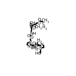 C=C(C)C(=O)OCCC[Si](CCCNC(=O)OCCN1CCN=C1C(C)(C)N=NC(C)(C)C1=NCCN1CCO)(OC)OC